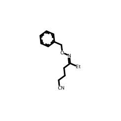 CCC(CCCC#N)=NOCc1ccccc1